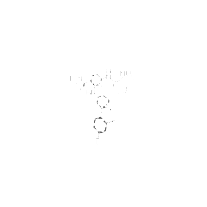 NC(=O)c1cc(F)c(N[C@@H]2CCCC[C@@H]2N)nc1Nc1ccnc(-c2ccc(F)cc2F)c1